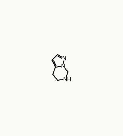 [CH]1Cc2ccnn2CN1